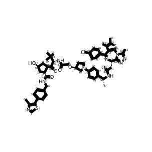 Cc1ncsc1-c1ccc(CNC(=O)[C@@H]2C[C@@H](O)CC2C(=O)[C@@H](NC(=O)CO[C@H]2CCN(c3ccc([C@@H](C)NC(=O)C[C@@H]4N=C(c5ccc(Cl)cc5)c5c(sc(C)c5C)-n5c(C)nnc54)cc3)C2)C(C)(C)C)cc1